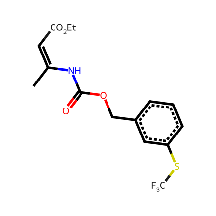 CCOC(=O)/C=C(/C)NC(=O)OCc1cccc(SC(F)(F)F)c1